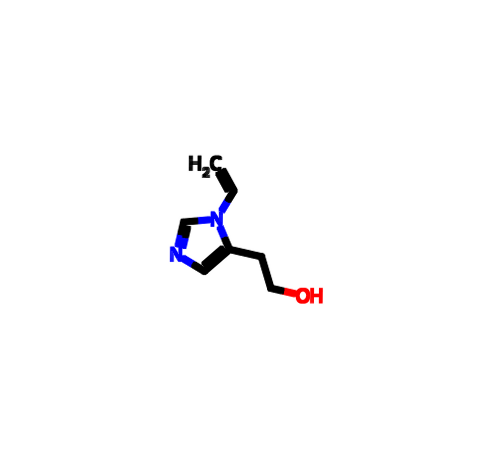 C=Cn1cncc1CCO